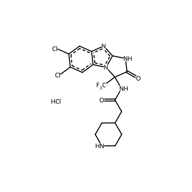 Cl.O=C(CC1CCNCC1)NC1(C(F)(F)F)C(=O)Nc2nc3cc(Cl)c(Cl)cc3n21